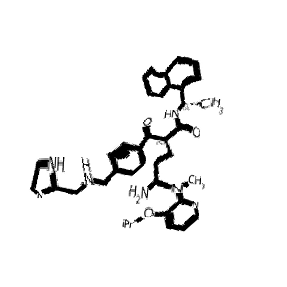 CC(C)Oc1cccnc1N(C)C(N)CC[C@H](C(=O)N[C@@H](C)c1cccc2ccccc12)C(=O)c1ccc(CNCc2ncc[nH]2)cc1